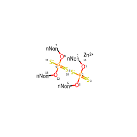 CCCCCCCCCOP(=S)([S-])OCCCCCCCCC.CCCCCCCCCOP(=S)([S-])OCCCCCCCCC.[Zn+2]